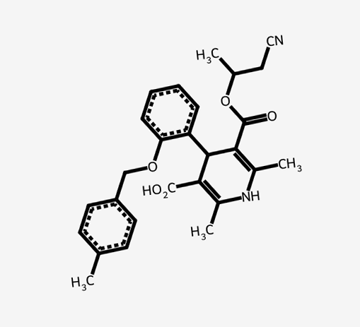 CC1=C(C(=O)O)C(c2ccccc2OCc2ccc(C)cc2)C(C(=O)OC(C)CC#N)=C(C)N1